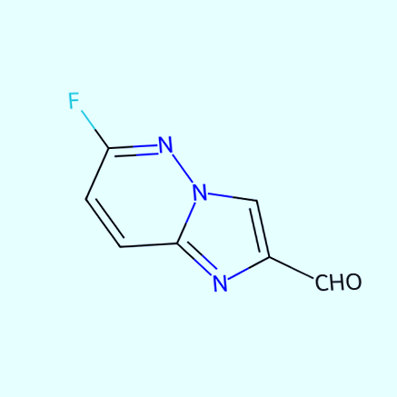 O=Cc1cn2nc(F)ccc2n1